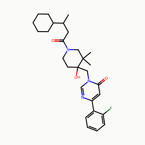 CC(CC(=O)N1CCC(O)(Cn2cnc(-c3ccccc3F)cc2=O)C(C)(C)C1)C1CCCCC1